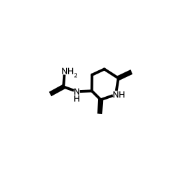 C=C(N)NC1CCC(=C)NC1=C